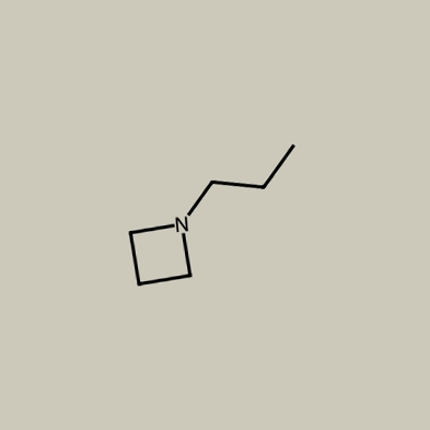 CCCN1CCC1